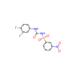 O=C(Nc1ccc(F)c(F)c1)NS(=O)(=O)c1cccc([N+](=O)[O-])c1